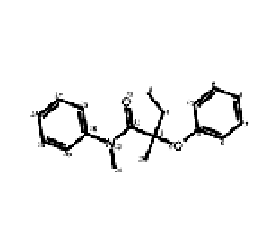 CCC(C)(Oc1ccccc1)C(=O)N(C)c1ccccc1